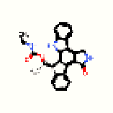 CCNC(=O)O[C@@H](C)[C@H]1c2ccccc2-c2c3c(c4c([nH]c5ccccc54)c21)CNC3=O